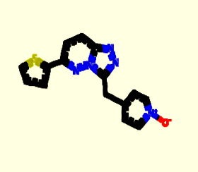 [O-][n+]1ccc(Cc2nnc3ccc(-c4cccs4)nn23)cc1